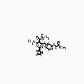 COC(=O)C1=C(CN2CCO[C@H](CCC(=O)O)C2)NC(c2nccs2)=N[C@H]1C